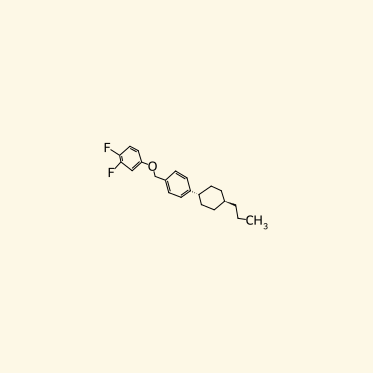 CCC[C@H]1CC[C@H](c2ccc(COc3ccc(F)c(F)c3)cc2)CC1